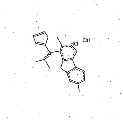 C[C](C)=[Zr]([C]1=CC=CC1)[c]1c(C)ccc2c1Cc1cc(C)ccc1-2.Cl.Cl